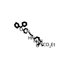 CCOC(=O)Cn1nc2ccc(NCCCN3CCC(OC(c4ccccc4)c4ccccc4)CC3)nn2c1=O